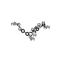 CCCCOCCOc1ccc(-c2ccc3c(c2)C=C(C(=O)Nc2ccc([S+]([O-])Cc4cncn4CCC)nn2)CCN3CC(C)C)cc1